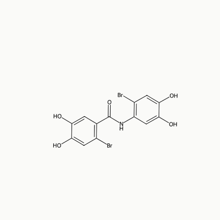 O=C(Nc1cc(O)c(O)cc1Br)c1cc(O)c(O)cc1Br